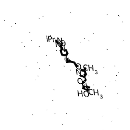 Cc1cc(CC(=O)N2CC(C)(O)C2)cnc1OCCC1C[C@@H]1C1CCN(c2nc(C(C)C)no2)CC1